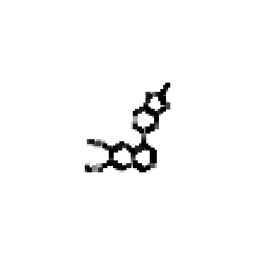 COc1cc2cncc(-c3ccc4sc(C)nc4c3)c2cc1OC